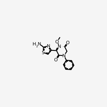 CON=C(C(=O)N(C[C]=O)c1ccccc1)c1csc(N)n1